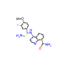 COc1ccc([C@@H](CN)Nc2ccnc3c(C(N)=O)cccc23)cc1F